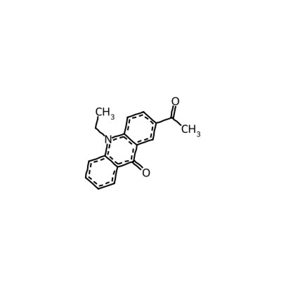 CCn1c2ccccc2c(=O)c2cc(C(C)=O)ccc21